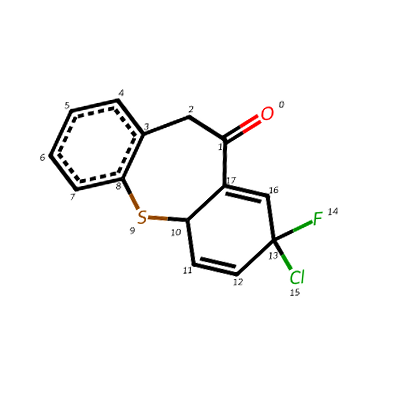 O=C1Cc2ccccc2SC2C=CC(F)(Cl)C=C12